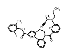 CCCN(c1cccc(C(=O)N2CCc3cc(C(=O)Nc4c(C)cccc4F)sc3-c3ccccc32)n1)[C@H](C)C#N